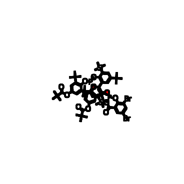 CC(C)(C)C(=O)Oc1cc(C(C)(C)C)c2op(Oc3c(-c4cc(C(C)(C)C)cc([Si](C)(C)C)c4OP4OC(=O)c5cc(Br)cc(Br)c5O4)cc(C(C)(C)C)cc3[Si](C)(C)C)oc3c(C(C)(C)C)cc(OC(=O)C(C)(C)C)cc3c2c1